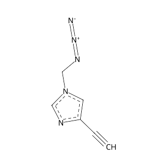 C#Cc1cn(CN=[N+]=[N-])cn1